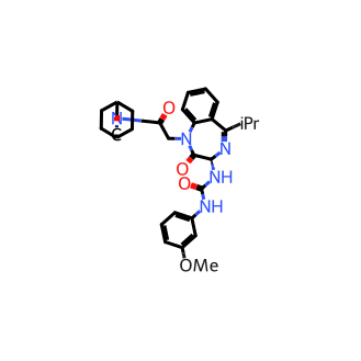 COc1cccc(NC(=O)N[C@@H]2N=C(C(C)C)c3ccccc3N(CC(=O)N3CC4CCC(CC4)C3)C2=O)c1